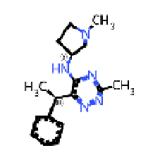 Cc1nnc([C@H](C)c2ccccc2)c(N[C@H]2CCN(C)C2)n1